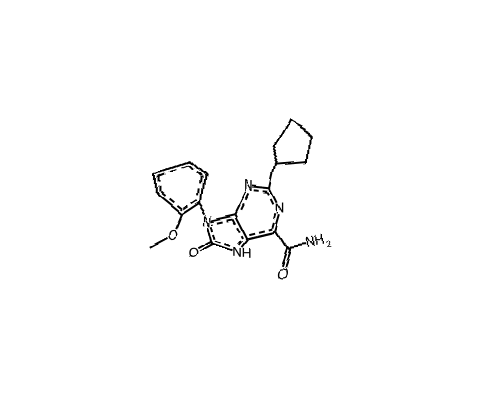 COc1ccccc1-n1c(=O)[nH]c2c(C(N)=O)nc(C3CCCC3)nc21